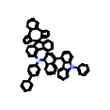 c1ccc(-c2ccc(N(c3cccc4c3-c3ccccc3C43c4ccccc4-c4ccccc4-c4ccccc43)c3ccc(-c4cccc5c4c4ccccc4n5-c4ccccc4)c4ccccc34)cc2)cc1